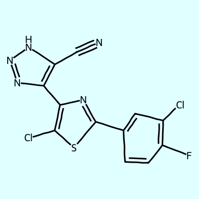 N#Cc1[nH]nnc1-c1nc(-c2ccc(F)c(Cl)c2)sc1Cl